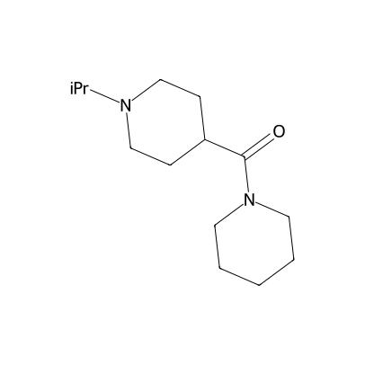 CC(C)N1CCC(C(=O)N2CCCCC2)CC1